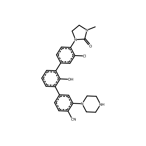 CN1CCN(c2ccc(-c3cccc(-c4ccc(C#N)c(N5CCNCC5)c4)c3O)cc2Cl)C1=O